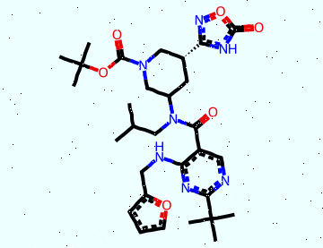 CC(C)CN(C(=O)c1cnc(C(C)(C)C)nc1NCc1ccco1)C1C[C@@H](c2noc(=O)[nH]2)CN(C(=O)OC(C)(C)C)C1